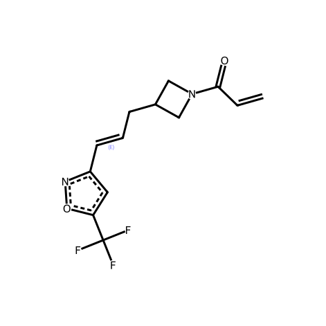 C=CC(=O)N1CC(C/C=C/c2cc(C(F)(F)F)on2)C1